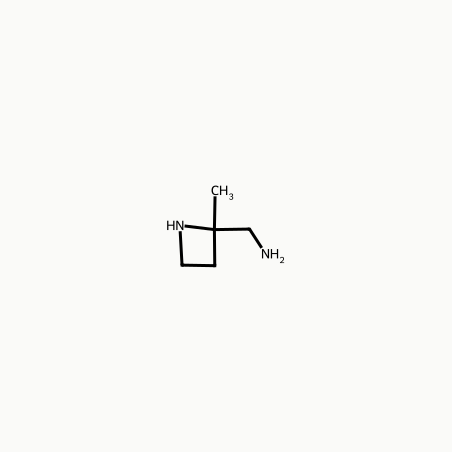 CC1(CN)CCN1